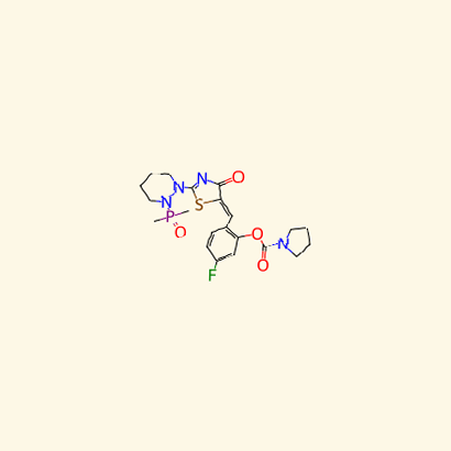 CP(C)(=O)N1CCCCN1C1=NC(=O)/C(=C/c2ccc(F)cc2OC(=O)N2CCCC2)S1